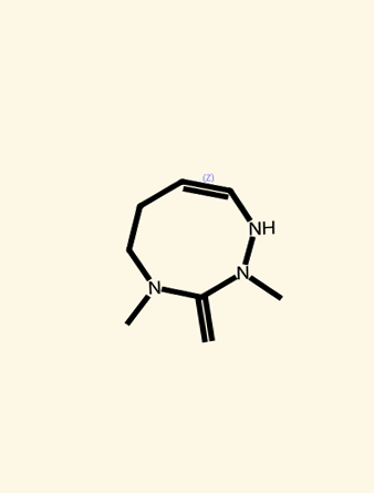 C=C1N(C)CC/C=C\NN1C